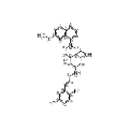 COc1ccc2nccc(N3CC[C@@H]4C[C@H](NCC=Cc5cc(F)ccc5F)CC[C@@]4(CO)C3)c2n1